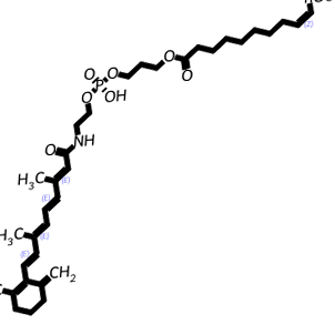 C=C1CCCC(C)=C1/C=C/C(C)=C/C=C/C(C)=C/C(=O)NCCOP(=O)(O)OCCCOC(=O)CCCCCCC/C=C\CCCCCCCC